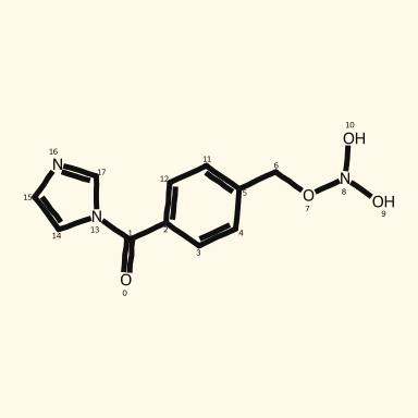 O=C(c1ccc(CON(O)O)cc1)n1ccnc1